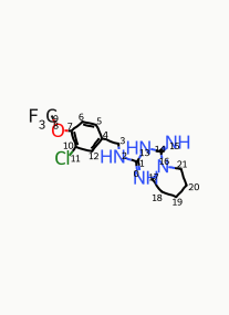 N=C(NCc1ccc(OC(F)(F)F)c(Cl)c1)NC(=N)N1CCCCC1